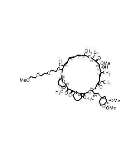 COCCOCCOCCOC1C[C@@H]2CC[C@@H](C)[C@@](O)(O2)C(=O)C(=O)N2CCCC[C@H]2C(=O)O[C@H]([C@H](C)C[C@@H]2CC[C@@H](OC)[C@H](OC)C2)CC(=O)[C@H](C)/C=C(\C)[C@@H](O)[C@@H](OC)C(=O)[C@H](C)C[C@H](C)/C=C/C=C/C=C/1C